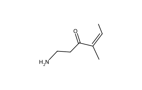 CC=C(C)C(=O)CCN